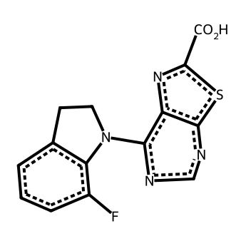 O=C(O)c1nc2c(N3CCc4cccc(F)c43)ncnc2s1